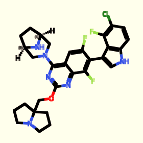 Fc1cc2c(N3C[C@H]4CC[C@@H](C3)N4)nc(OCC34CCCN3CCC4)nc2c(F)c1-c1c[nH]c2ccc(Cl)c(F)c12